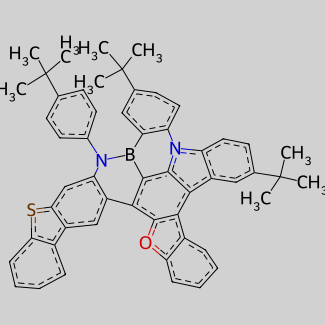 CC(C)(C)c1ccc(N2B3c4cc(C(C)(C)C)ccc4-n4c5ccc(C(C)(C)C)cc5c5c6c(oc7ccccc76)c(c3c54)-c3cc4c(cc32)sc2ccccc24)cc1